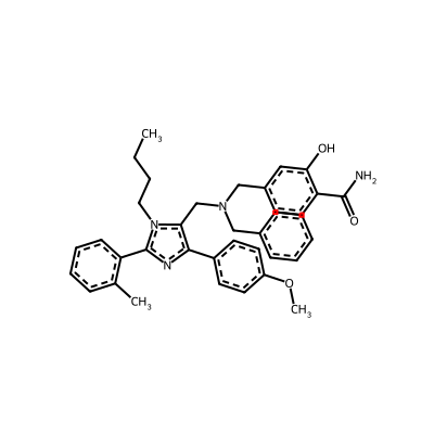 CCCCn1c(-c2ccccc2C)nc(-c2ccc(OC)cc2)c1CN(Cc1ccccc1)Cc1ccc(C(N)=O)c(O)c1